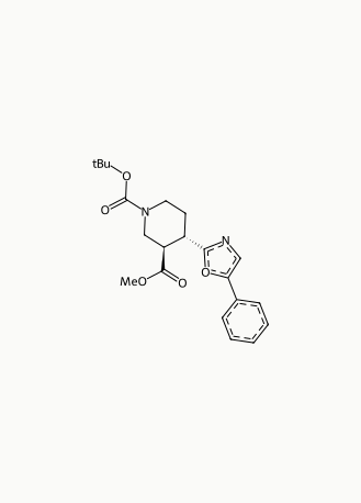 COC(=O)[C@H]1CN(C(=O)OC(C)(C)C)CC[C@@H]1c1ncc(-c2ccccc2)o1